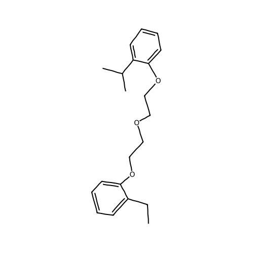 CCc1ccccc1OCCOCCOc1ccccc1C(C)C